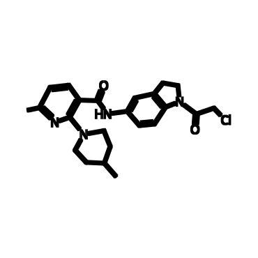 Cc1ccc(C(=O)Nc2ccc3c(c2)CCN3C(=O)CCl)c(N2CCC(C)CC2)n1